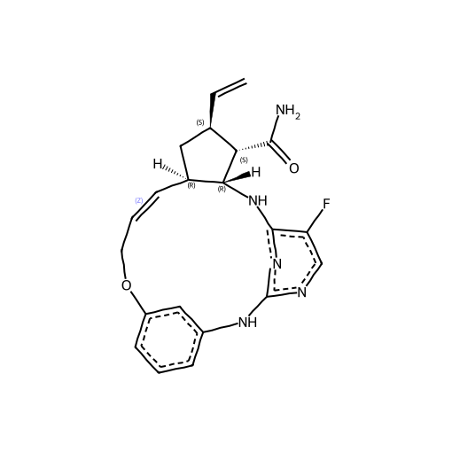 C=C[C@@H]1C[C@@H]2/C=C\COc3cccc(c3)Nc3ncc(F)c(n3)N[C@H]2[C@H]1C(N)=O